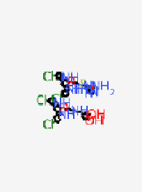 Nc1ncnc2[nH]c(SCCCOc3c4[nH]c5ccc(Cl)cc5c4cc4c3[nH]c3ccc(Cl)cc34)nc12.Oc1ccc(CCNCCCOc2c3[nH]c4ccc(Cl)cc4c3cc3c2[nH]c2ccc(Cl)cc23)cc1O